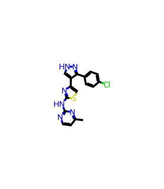 Cc1ccnc(Nc2nc(-c3c[nH]nc3-c3ccc(Cl)cc3)cs2)n1